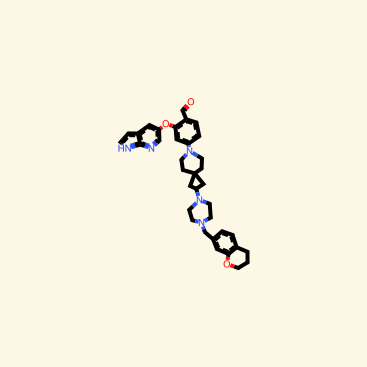 O=Cc1ccc(N2CCC3(CC2)CC(N2CCN(Cc4ccc5c(c4)OCCC5)CC2)C3)cc1Oc1cnc2[nH]ccc2c1